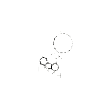 Cc1ccc(C(=O)NC2CCCCCCCCCCCCC2)c2c1[nH]c1ccccc12